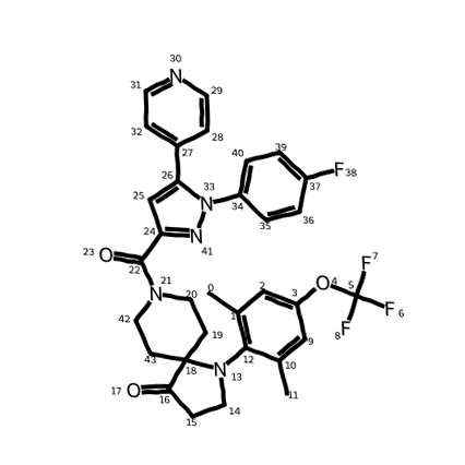 Cc1cc(OC(F)(F)F)cc(C)c1N1CCC(=O)C12CCN(C(=O)c1cc(-c3ccncc3)n(-c3ccc(F)cc3)n1)CC2